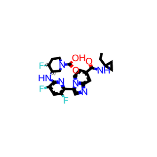 CCC1(NC(=O)c2ccn3c(-c4nc(N[C@H]5CN(C(=O)O)CC[C@@H]5F)c(F)cc4F)cnc3c2)CC1